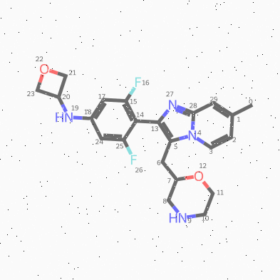 Cc1ccn2c(CC3CNCCO3)c(-c3c(F)cc(NC4COC4)cc3F)nc2c1